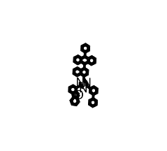 c1ccc(-c2cccc(-c3nc(-c4ccc(-c5c6ccccc6c(-c6ccccc6)c6ccccc56)c5ccccc45)nc(-c4cccc5c4oc4ccccc45)n3)c2)cc1